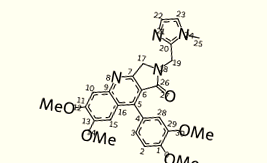 COc1ccc(-c2c3c(nc4cc(OC)c(OC)cc24)CN(Cc2nccn2C)C3=O)cc1OC